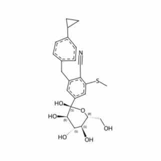 CSc1cc([C@]2(O)O[C@H](CO)[C@@H](O)[C@H](O)[C@H]2O)cc(Cc2ccc(C3CC3)cc2)c1C#N